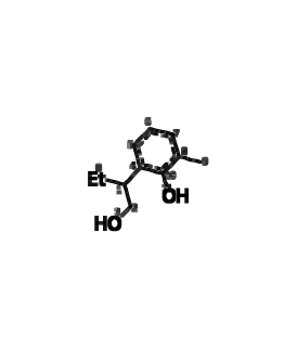 CCC(CO)c1cccc(C)c1O